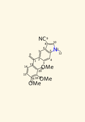 C=C(c1ccc2c(c1)c(C#N)cn2C)c1ccc(OC)c(OC)c1OC